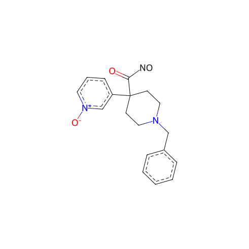 O=NC(=O)C1(c2ccc[n+]([O-])c2)CCN(Cc2ccccc2)CC1